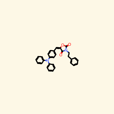 O=C1OC(=Cc2ccc(N(c3ccccc3)c3ccccc3)cc2)C(=O)N1CCc1ccccc1